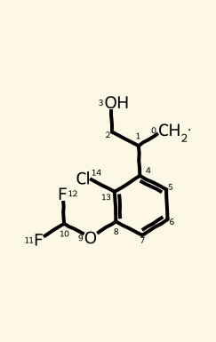 [CH2]C(CO)c1cccc(OC(F)F)c1Cl